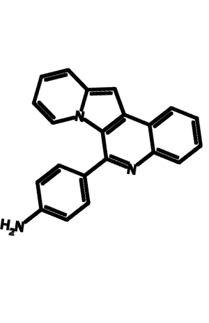 Nc1ccc(-c2nc3ccccc3c3cc4ccccn4c23)cc1